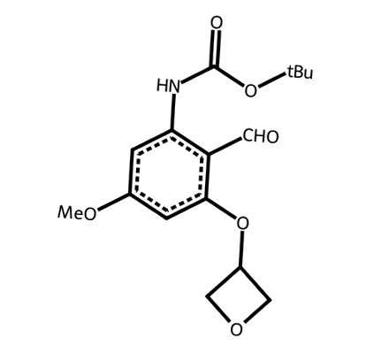 COc1cc(NC(=O)OC(C)(C)C)c(C=O)c(OC2COC2)c1